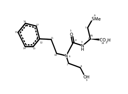 CSC[C@H](NC(=O)N(CCO)CCc1ccccc1)C(=O)O